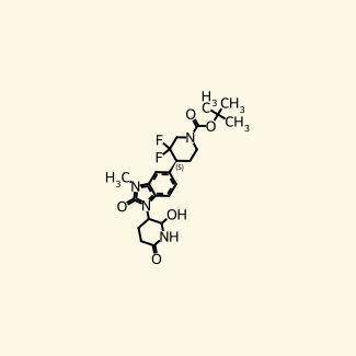 Cn1c(=O)n(C2CCC(=O)NC2O)c2ccc([C@@H]3CCN(C(=O)OC(C)(C)C)CC3(F)F)cc21